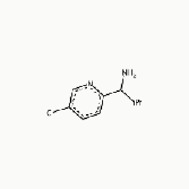 CC(C)C(N)c1ccc(Cl)cn1